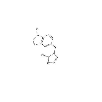 CCc1nccn1Cc1ccc2c(c1)CCC2=O